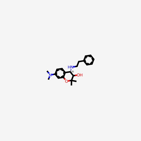 CN(C)c1ccc2c(c1)OC(C)(C)C(O)[C@H]2NCCc1ccccc1